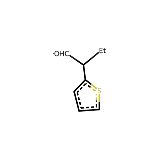 CCC([C]=O)c1cccs1